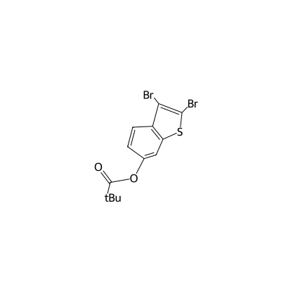 CC(C)(C)C(=O)Oc1ccc2c(Br)c(Br)sc2c1